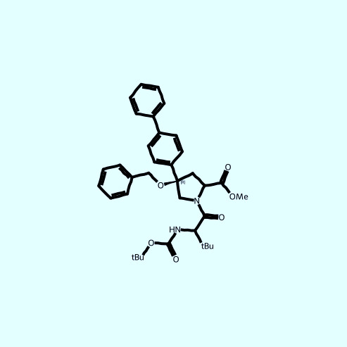 COC(=O)C1C[C@@](OCc2ccccc2)(c2ccc(-c3ccccc3)cc2)CN1C(=O)C(NC(=O)OC(C)(C)C)C(C)(C)C